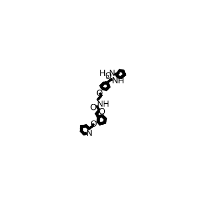 Nc1ccccc1NC(=O)c1ccc(OCCNC(=O)c2cc3c(OCc4ccccn4)cccc3o2)cc1